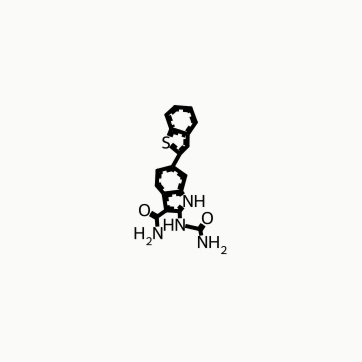 NC(=O)Nc1[nH]c2cc(-c3cc4ccccc4s3)ccc2c1C(N)=O